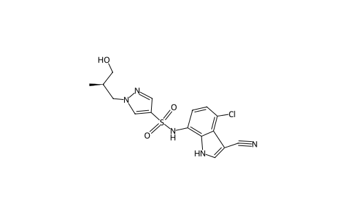 C[C@@H](CO)Cn1cc(S(=O)(=O)Nc2ccc(Cl)c3c(C#N)c[nH]c23)cn1